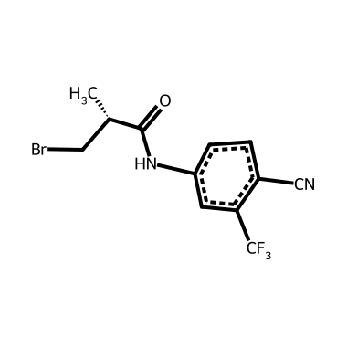 C[C@@H](CBr)C(=O)Nc1ccc(C#N)c(C(F)(F)F)c1